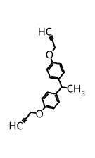 C#CCOc1ccc(C(C)c2ccc(OCC#C)cc2)cc1